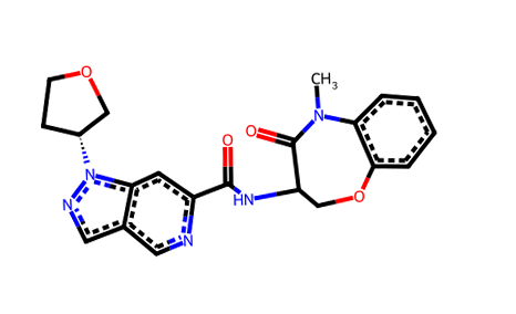 CN1C(=O)C(NC(=O)c2cc3c(cn2)cnn3[C@@H]2CCOC2)COc2ccccc21